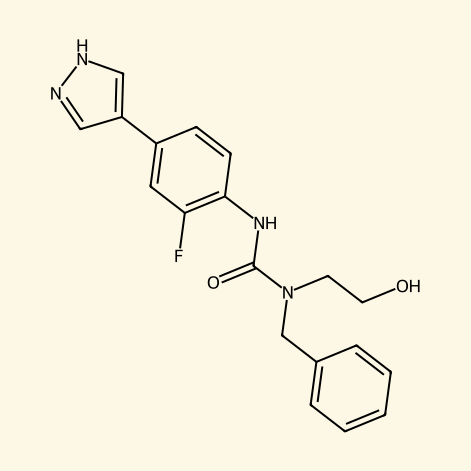 O=C(Nc1ccc(-c2cn[nH]c2)cc1F)N(CCO)Cc1ccccc1